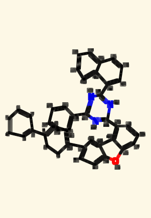 C1=C(c2ccccc2)CCC(c2ccc3oc4cccc(-c5nc(-c6ccccc6)nc(-c6cccc7ccccc67)n5)c4c3c2)=C1